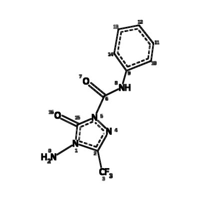 Nn1c(C(F)(F)F)nn(C(=O)Nc2ccccc2)c1=O